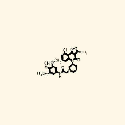 COc1cc(NC(=O)CN2CCCC(n3c(=O)c4c(C)onc4c4c(Cl)cccc43)C2)cc(OC)c1OC